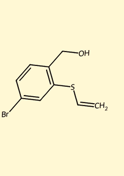 C=CSc1cc(Br)ccc1CO